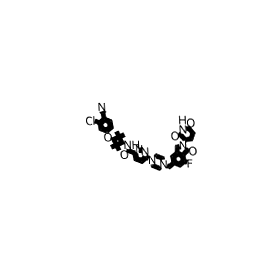 CC1(C)[C@H](NC(=O)c2ccc(N3CCN(Cc4cc(F)c5c(c4)CN(C4CCC(=O)NC4=O)C5=O)CC3)nn2)C(C)(C)[C@H]1Oc1ccc(C#N)c(Cl)c1